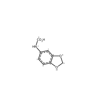 O=C(O)Nc1ccc2c(c1)OCO2